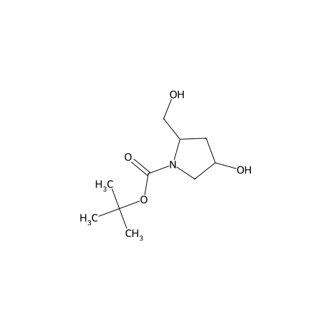 CC(C)(C)OC(=O)N1CC(O)CC1CO